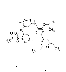 CCC1C=C(c2cc(OC(C)C)c(Nc3ncc(Cl)c(Nc4ccccc4S(=O)(=O)C(C)C)n3)cc2C)CC(CC)N1